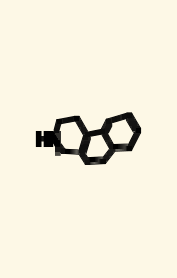 [C]1NCCc2c1ccc1ccccc21